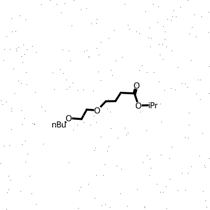 CCCCOCCOCCCC(=O)OC(C)C